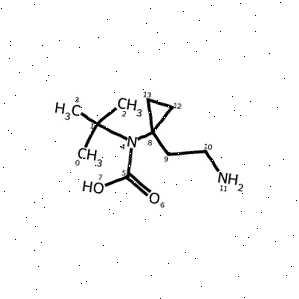 CC(C)(C)N(C(=O)O)C1(CCN)CC1